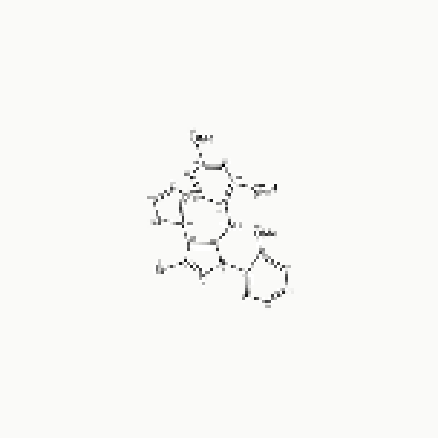 CCc1nn(-c2ccccc2OC)c(Nc2ccc(OC)cc2C(=O)O)c1-c1nccs1